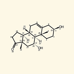 C[C@]12CC[C@H](O)CC1=CC[C@@H]1[C@@H]2[C@H](O)C[C@]2(C)C(=O)CC[C@@H]12